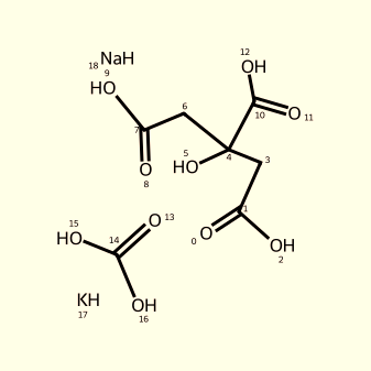 O=C(O)CC(O)(CC(=O)O)C(=O)O.O=C(O)O.[KH].[NaH]